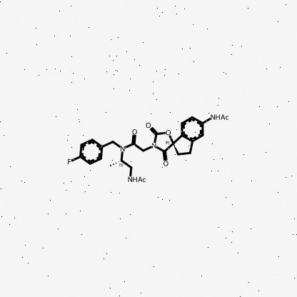 CC(=O)NC[C@H](C)N(Cc1ccc(F)cc1)C(=O)CN1C(=O)O[C@@]2(CCc3cc(NC(C)=O)ccc32)C1=O